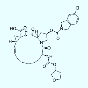 O=C(N[C@H]1CCCCC/C=C\[C@@H]2C[C@@]2(C(=O)O)NC(=O)[C@@H]2C[C@@H](OC(=O)N3Cc4ccc(Cl)cc4C3)CN2C1=O)O[C@@H]1CCOC1